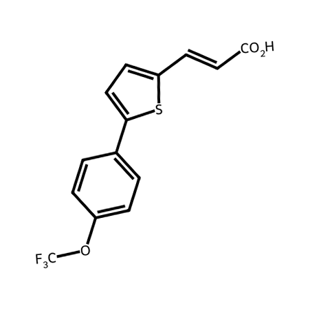 O=C(O)C=Cc1ccc(-c2ccc(OC(F)(F)F)cc2)s1